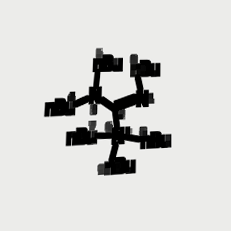 CCCC/N=C(\N(CCCC)CCCC)[N+](CCCC)(CCCC)CCCC